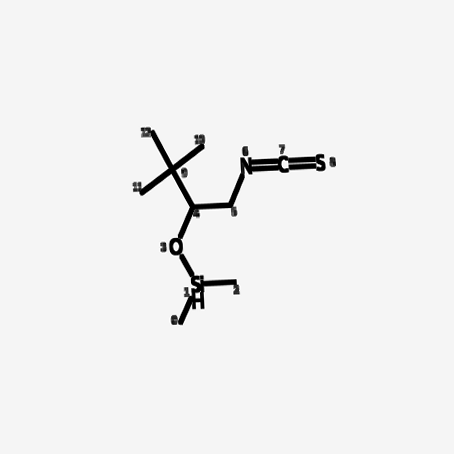 C[SiH](C)OC(CN=C=S)C(C)(C)C